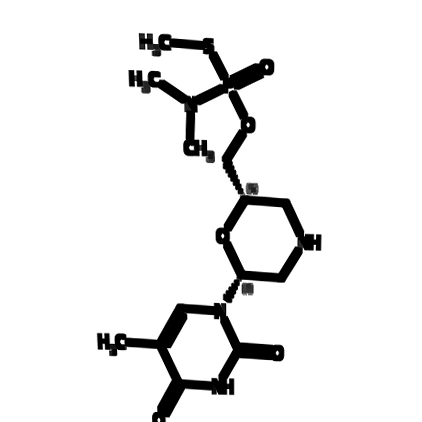 CSP(=O)(OC[C@@H]1CNC[C@H](n2cc(C)c(=O)[nH]c2=O)O1)N(C)C